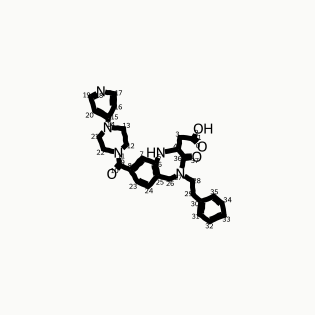 O=C(O)CC1Nc2cc(C(=O)N3CCN(c4ccncc4)CC3)ccc2CN(CCc2ccccc2)C1=O